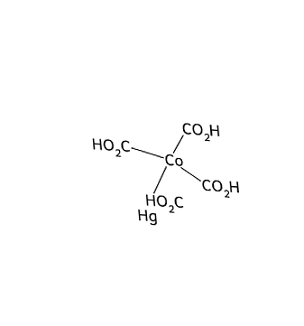 O=[C](O)[Co]([C](=O)O)([C](=O)O)[C](=O)O.[Hg]